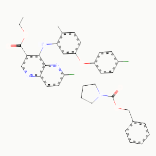 [CH2]c1ccc(Oc2ccc(F)cc2[C@H]2CCCN2C(=O)OCc2ccccc2)cc1Nc1c(C(=O)OCC)cnc2ccc(Cl)nc12